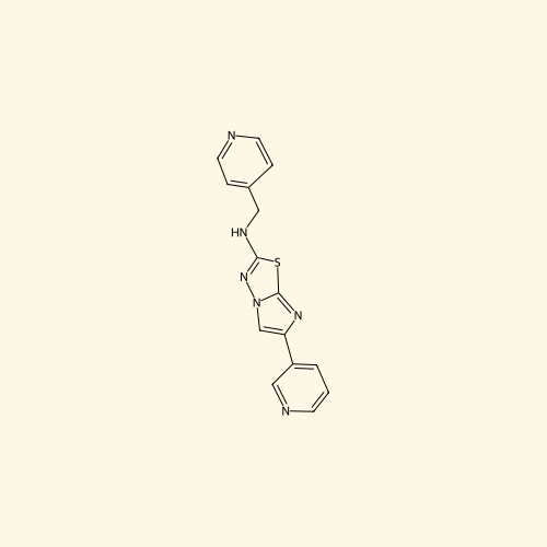 c1cncc(-c2cn3nc(NCc4ccncc4)sc3n2)c1